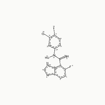 N=C(c1c(F)ccc2nc[nH]c12)N(O)c1ccc(F)c(Cl)c1